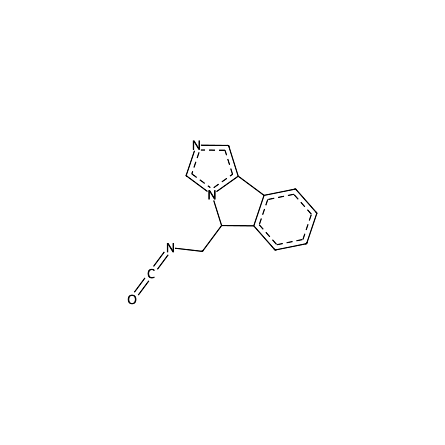 O=C=NCC1c2ccccc2-c2cncn21